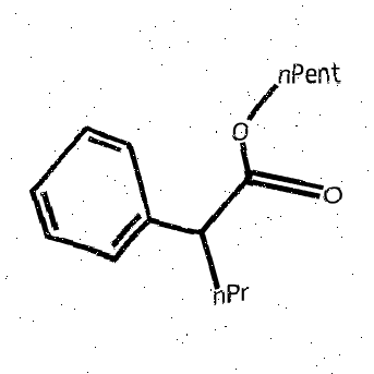 CCCCCOC(=O)C(CCC)c1ccccc1